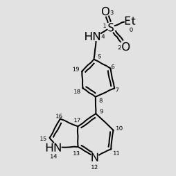 CCS(=O)(=O)Nc1ccc(-c2ccnc3[nH]ccc23)cc1